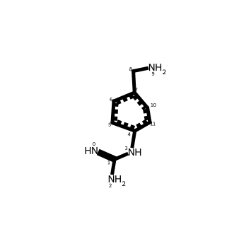 N=C(N)Nc1ccc(CN)cc1